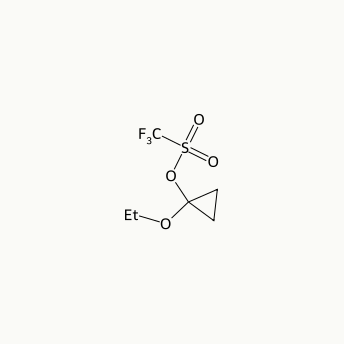 CCOC1(OS(=O)(=O)C(F)(F)F)CC1